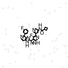 O=C(Nc1cncc(-c2ncc3[nH]nc(-c4nc5c(-c6cccc(F)c6)nccc5[nH]4)c3c2F)c1)C1CCC1